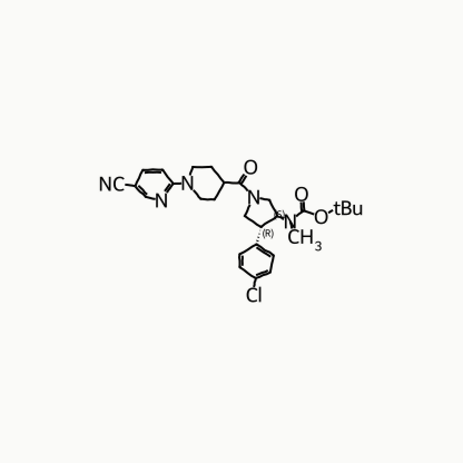 CN(C(=O)OC(C)(C)C)[C@@H]1CN(C(=O)C2CCN(c3ccc(C#N)cn3)CC2)C[C@H]1c1ccc(Cl)cc1